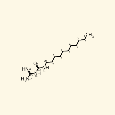 CCCCCCCCCCCNC(=O)NC(=N)N